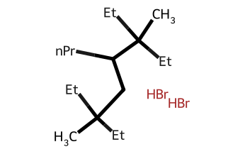 Br.Br.CCCC(CC(C)(CC)CC)C(C)(CC)CC